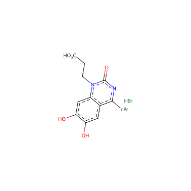 Br.CCCc1nc(=O)n(CCC(=O)O)c2cc(O)c(O)cc12